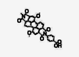 COc1cc2c3c(ccc4c5c(OC)cc6c7c(ccc(c1c34)c75)C(=O)N(c1ccc(C(=O)O)cc1)C6=O)C(=O)N(C)C2=O